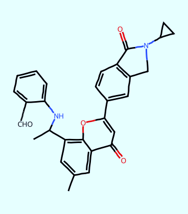 Cc1cc(C(C)Nc2ccccc2C=O)c2oc(-c3ccc4c(c3)CN(C3CC3)C4=O)cc(=O)c2c1